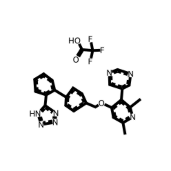 Cc1cc(OCc2ccc(-c3ccccc3-c3nnn[nH]3)cc2)c(-c2cncnc2)c(C)n1.O=C(O)C(F)(F)F